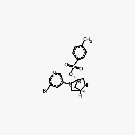 Cc1ccc(S(=O)(=O)O[C@@]23CN[C@H](CN2c2cncc(Br)c2)C3)cc1